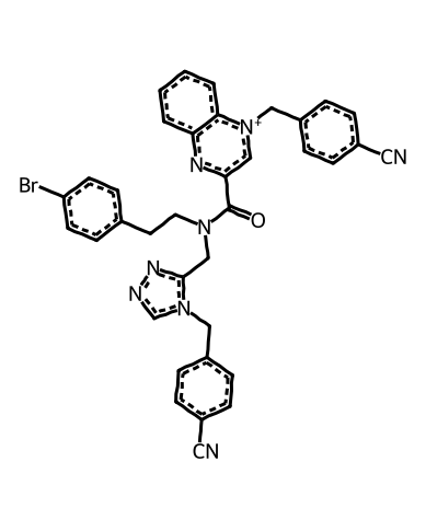 N#Cc1ccc(Cn2cnnc2CN(CCc2ccc(Br)cc2)C(=O)c2c[n+](Cc3ccc(C#N)cc3)c3ccccc3n2)cc1